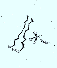 CCCCCCCCO.CCCCCCCCO.O=S(=O)([O-])[O-].[Na+].[Na+]